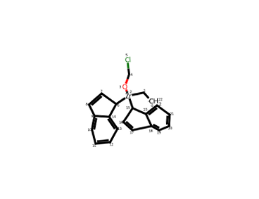 [CH2][CH2][Zr]([O]CCl)([CH]1C=Cc2ccccc21)[CH]1C=Cc2ccccc21